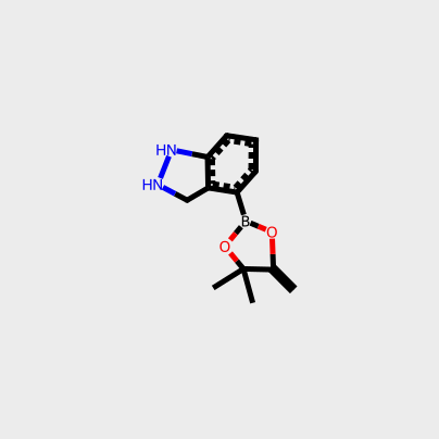 C=C1OB(c2cccc3c2CNN3)OC1(C)C